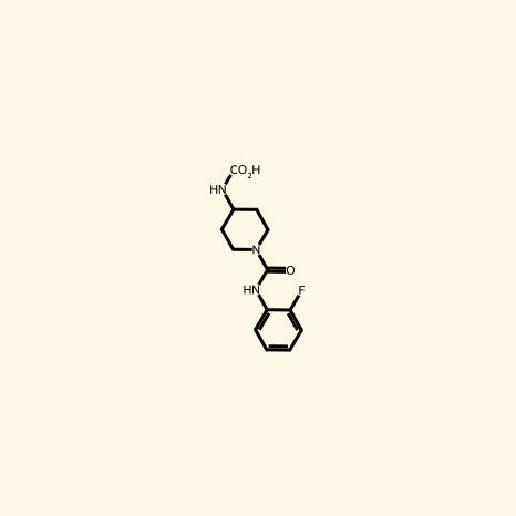 O=C(O)NC1CCN(C(=O)Nc2ccccc2F)CC1